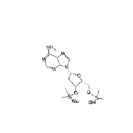 CC(C)(C)[Si](C)(C)OC[C@H]1O[C@@H](N2C=NC3C(N)=NC=NC32)CC1O[Si](C)(C)C(C)(C)C